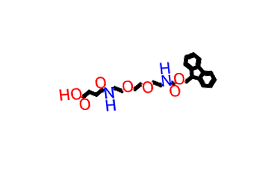 O=C(O)CCC(=O)NCCOCCOCCNC(=O)OCC1c2ccccc2-c2ccccc21